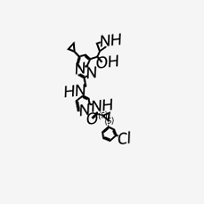 O=C(Nc1cc(NCc2cn3cc(C4CC4)cc(C(O)C4CNC4)c3n2)ccn1)[C@H]1C[C@@H]1c1cccc(Cl)c1